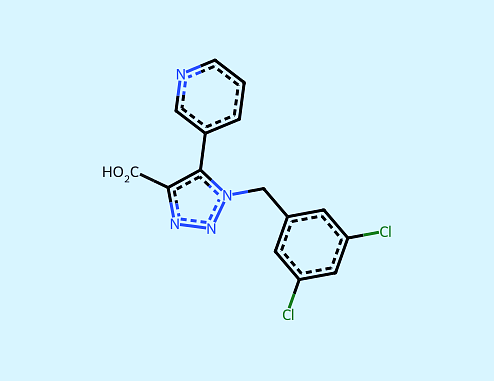 O=C(O)c1nnn(Cc2cc(Cl)cc(Cl)c2)c1-c1cccnc1